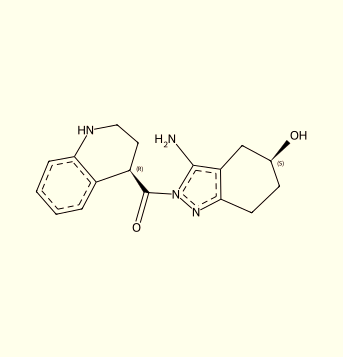 Nc1c2c(nn1C(=O)[C@@H]1CCNc3ccccc31)CC[C@H](O)C2